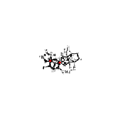 COc1cc(F)ccc1S(=O)(=O)N1[C@@H]2CC[C@H]1[C@@H]1CN(C(=O)c3cnn[nH]3)C[C@@H]12